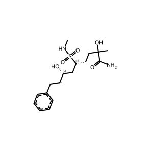 CNS(=O)(=O)[C@H](CCC(C)(O)C(N)=O)C[C@@H](O)[CH]Cc1ccccc1